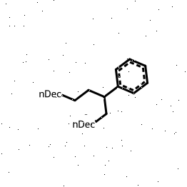 CCCCCCCCCCCCC(CCCCCCCCCCC)c1ccccc1